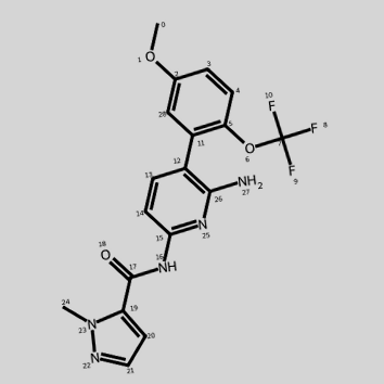 COc1ccc(OC(F)(F)F)c(-c2ccc(NC(=O)c3ccnn3C)nc2N)c1